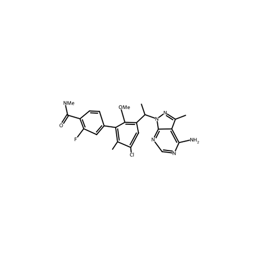 CNC(=O)c1ccc(-c2c(C)c(Cl)cc(C(C)n3nc(C)c4c(N)ncnc43)c2OC)cc1F